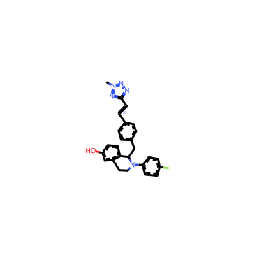 Cn1nnc(/C=C/c2ccc(CC3c4ccc(O)cc4CCN3c3ccc(F)cc3)cc2)n1